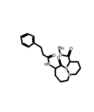 CC(C)(C)OC(=O)C1CCCN2CCCC(NC(=O)CCc3ccccc3)C(=O)N12